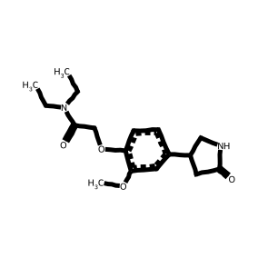 CCN(CC)C(=O)COc1ccc(C2CNC(=O)C2)cc1OC